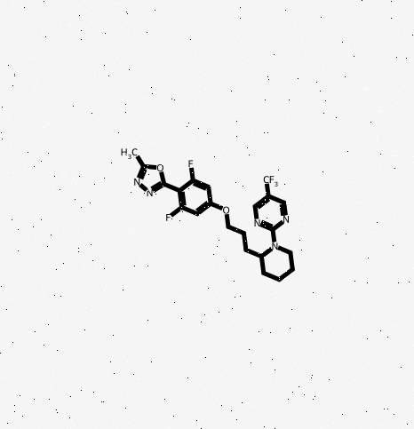 Cc1nnc(-c2c(F)cc(OCCCC3CCCCN3c3ncc(C(F)(F)F)cn3)cc2F)o1